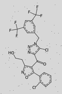 O=C(c1nnn(Cc2cc(C(F)(F)F)cc(C(F)(F)F)c2)c1Cl)c1c(CCO)noc1-c1ccccc1Cl